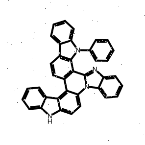 c1ccc(-n2c3ccccc3c3ccc4c5c6c(ccc5n5c7ccccc7nc5c4c32)[nH]c2ccccc26)cc1